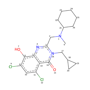 CN(Cc1nc2c(O)c(Cl)cc(Cl)c2c(=O)n1CC1CC1)C1CCCCC1